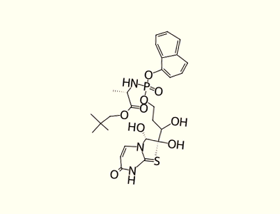 C[C@H](NP(=O)(OCCC(O)[C@@](C)(O)[C@@H](O)n1ccc(=O)[nH]c1=S)Oc1cccc2ccccc12)C(=O)OCC(C)(C)C